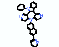 c1ccc(-n2c3c(c4ccccc42)-c2cnccc2N(c2ccc4cc(-c5ccccn5)ccc4c2)c2ccncc2-3)cc1